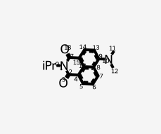 CC(C)N1C(=O)c2cccc3c(N(C)C)ccc(c23)C1=O